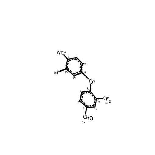 N#Cc1ccc(Oc2ccc(C=O)cc2C(F)(F)F)cc1F